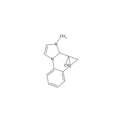 CN1C=CN2c3ccccc3C3CC3(C)C12